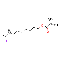 C=C(C)C(=O)OCCCCCCC[SiH2]C(I)I